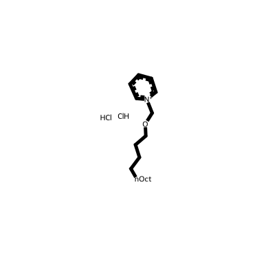 CCCCCCCCCCCCOC[n+]1ccccc1.Cl.Cl